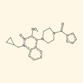 O=C(c1cccs1)N1CCN(c2c([N+](=O)[O-])c(=O)n(CC3CC3)c3ccccc23)CC1